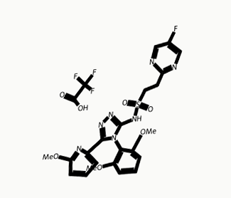 COc1cccc(-c2nnc(NS(=O)(=O)CCc3ncc(F)cn3)n2-c2c(OC)cccc2OC)n1.O=C(O)C(F)(F)F